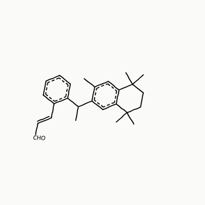 Cc1cc2c(cc1C(C)c1ccccc1C=CC=O)C(C)(C)CCC2(C)C